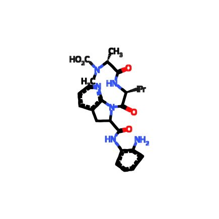 CC(C)[C@H](NC(=O)[C@@H](C)N(C)C(=O)O)C(=O)N1c2ncccc2CC1C(=O)Nc1ccccc1N